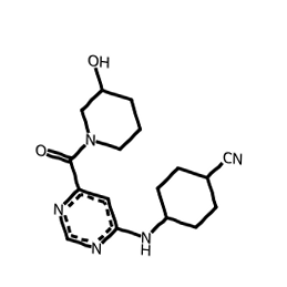 N#CC1CCC(Nc2cc(C(=O)N3CCCC(O)C3)ncn2)CC1